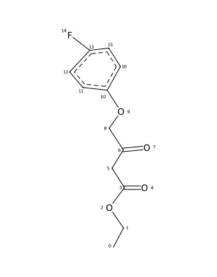 CCOC(=O)CC(=O)COc1ccc(F)cc1